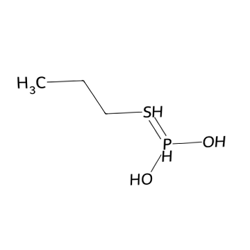 CCC[SH]=[PH](O)O